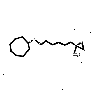 CCOC(=O)C1(CCCCCCOC2CCCCCCC2)CO1